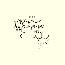 Cc1c(O)c(=O)c(C(=O)NCc2c(F)cc(F)cc2F)cn1CC12CCCC(CN1C=O)C2